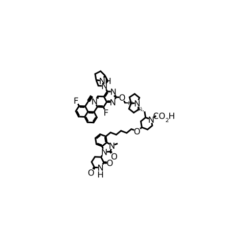 C#Cc1c(F)ccc2cccc(-c3ncc4c(N5CC6CCC(C5)N6)nc(OC[C@@]56CCCN5[C@H](CC5CC(OCCCCCc7cccc8c7n(C)c(=O)n8C7CCC(=O)NC7=O)CCN5C(=O)O)CC6)nc4c3F)c12